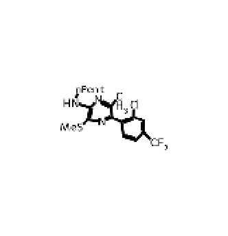 CCCCCNc1nc(C)c(-c2ccc(C(F)(F)F)cc2Cl)nc1SC